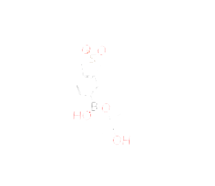 CC(C)(O)C(C)(C)OB(O)c1ccc2c(c1)CS(=O)(=O)C2